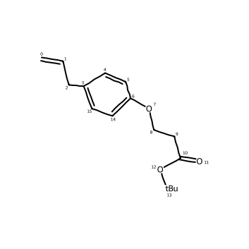 C=CCc1ccc(OCCC(=O)OC(C)(C)C)cc1